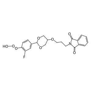 O=C1c2ccccc2C(=O)N1CCCOC1COC(c2ccc(OOO)c(F)c2)OC1